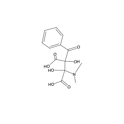 CN(C)C(O)(C(=O)O)C(O)(C(=O)O)C(=O)c1ccccc1